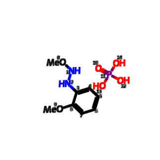 CONNc1ccccc1OC.O=P(O)(O)O